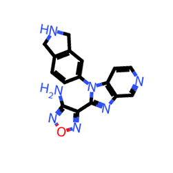 Nc1nonc1-c1nc2cnccc2n1-c1ccc2c(c1)CNC2